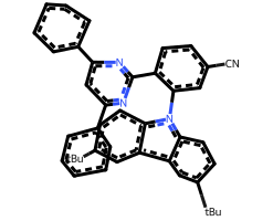 CC(C)(C)c1ccc2c(c1)c1cc(C(C)(C)C)ccc1n2-c1cc(C#N)ccc1-c1nc(-c2ccccc2)cc(-c2ccccc2)n1